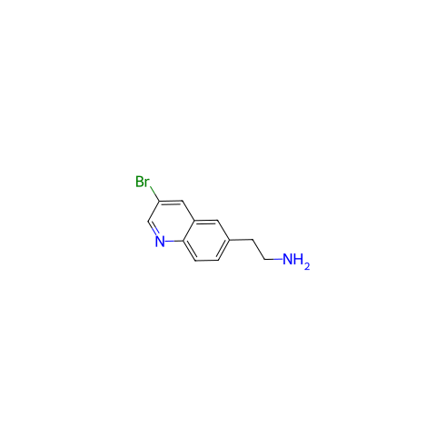 NCCc1ccc2ncc(Br)cc2c1